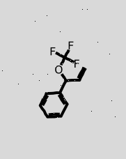 C=CC(OC(F)(F)F)c1ccccc1